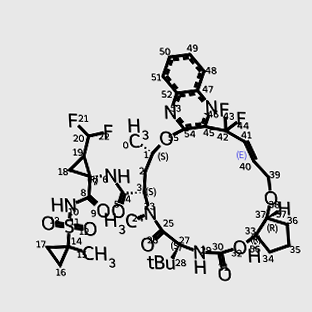 C[C@H]1C[C@@H](C(=O)N[C@]2(C(=O)NS(=O)(=O)C3(C)CC3)CC2C(F)F)N(C)C(=O)[C@H](C(C)(C)C)NC(=O)O[C@@H]2CCC[C@H]2OC/C=C/C(F)(F)c2nc3ccccc3nc2O1